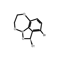 CC[C@H]1OB2OCCOc3ccc(Br)c1c32